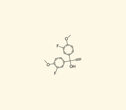 C#CC(O)(c1ccc(OC)c(F)c1)c1ccc(OC)c(F)c1